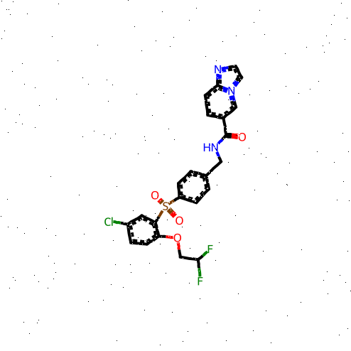 O=C(NCc1ccc(S(=O)(=O)c2cc(Cl)ccc2OCC(F)F)cc1)c1ccc2nccn2c1